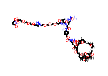 C=C1C[C@@H]2CC[C@H]3O[C@@H]4[C@@H]5O[C@H]6CC[C@H](CC(=O)C[C@@H]7[C@@H](OC)[C@@H](C[C@H](O)CNC(=O)OCc8ccc(NC(=O)[C@H](CCCNC(N)=O)NC(=O)[C@@H](NC(=O)CCOCCOCCOCCn9cc(COCCOCCOCCC(=O)ON%10C(=O)CCC%10=O)nn9)C(C)C)cc8)O[C@H]7C[C@H]7O[C@@H](CC[C@@H]1O2)C[C@@H](C)C7=C)O[C@@H]6[C@@H]1OCC3[C@H]4O[C@@H]15